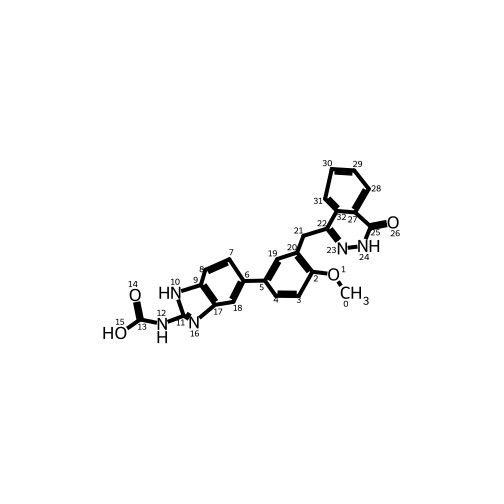 COc1ccc(-c2ccc3[nH]c(NC(=O)O)nc3c2)cc1Cc1n[nH]c(=O)c2ccccc12